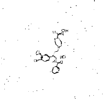 CC/C(=N\O)C1CCN(CC[C@H](CN(C)C(=O)c2ccccc2)c2ccc(Cl)c(Cl)c2)CC1.Cl